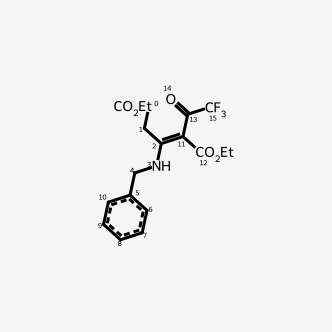 CCOC(=O)C/C(NCc1ccccc1)=C(/C(=O)OCC)C(=O)C(F)(F)F